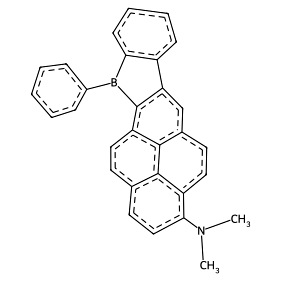 CN(C)c1ccc2ccc3c4c(cc5ccc1c2c53)-c1ccccc1B4c1ccccc1